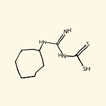 N=C(NC(=S)S)NC1CCCCC1